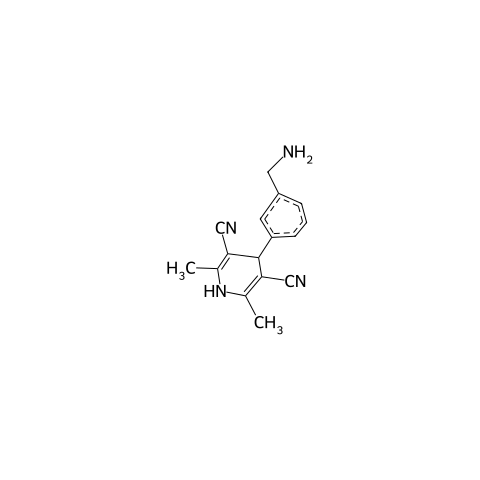 CC1=C(C#N)C(c2cccc(CN)c2)C(C#N)=C(C)N1